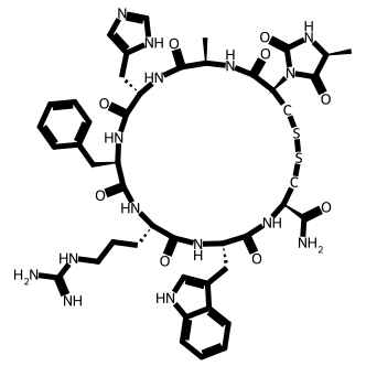 C[C@@H]1NC(=O)N([C@H]2CSSC[C@@H](C(N)=O)NC(=O)[C@H](Cc3c[nH]c4ccccc34)NC(=O)[C@H](CCCNC(=N)N)NC(=O)[C@@H](Cc3ccccc3)NC(=O)[C@H](Cc3cnc[nH]3)NC(=O)[C@@H](C)NC2=O)C1=O